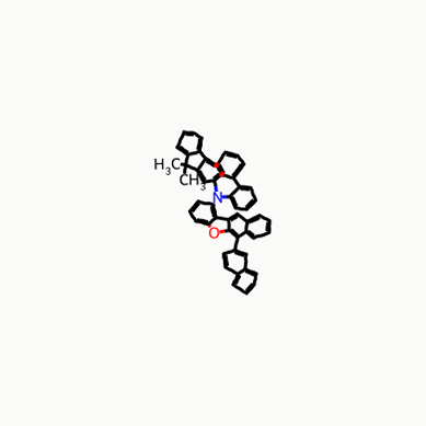 CC1(C)c2ccccc2-c2ccc(N(c3ccccc3-c3ccccc3)c3cccc4oc5c(-c6ccc7ccccc7c6)c6ccccc6cc5c34)cc21